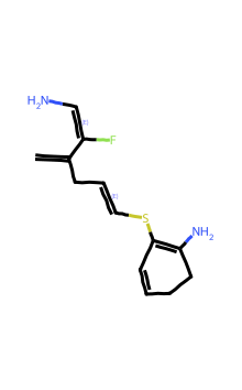 C=C(C/C=C/SC1=C(N)CCC=C1)/C(F)=C\N